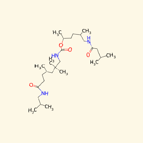 CC(C)CNC(=O)CCC(C)CC(C)(C)CNC(=O)OC(C)CCC(C)CNC(=O)CC(C)C